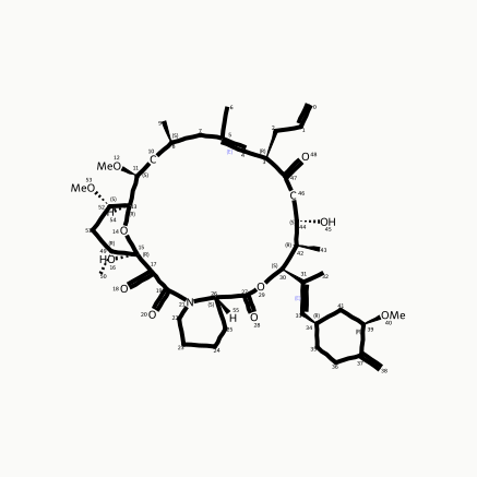 C=CC[C@@H]1/C=C(\C)C[C@H](C)C[C@H](OC)[C@H]2O[C@@](O)(C(=O)C(=O)N3CCCC[C@H]3C(=O)O[C@H](/C(C)=C/[C@@H]3CCC(=C)[C@H](OC)C3)[C@H](C)[C@@H](O)CC1=O)[C@H](C)C[C@@H]2OC